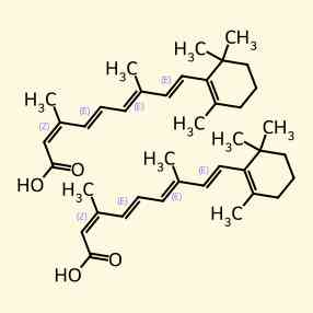 CC1=C(/C=C/C(C)=C/C=C/C(C)=C\C(=O)O)C(C)(C)CCC1.CC1=C(/C=C/C(C)=C/C=C/C(C)=C\C(=O)O)C(C)(C)CCC1